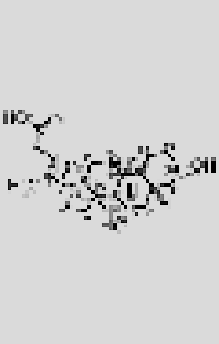 C[C@H](CCC(=O)O)[C@H]1CC[C@H]2[C@@H]3[C@@H](O)C[C@@H]4C[C@@H](O)CC[C@]4(C)[C@H]3CC[C@]12C